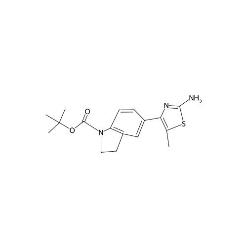 Cc1sc(N)nc1-c1ccc2c(c1)CCN2C(=O)OC(C)(C)C